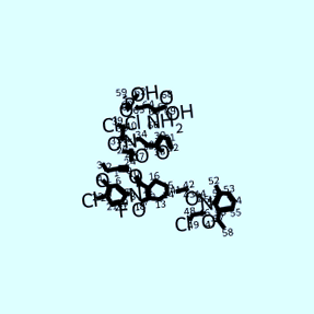 C#CC(C)Oc1cc(N2C(=O)C3=C(CCCC3)C2=O)c(F)cc1Cl.CC1(C)OC(c2ccco2)CN1C(=O)C(Cl)Cl.CCOCN(C(=O)CCl)c1c(C)cccc1CC.CP(=O)(O)CCC(N)C(=O)O